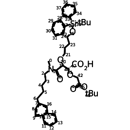 CN(CCCCCc1ccc2ccccc2c1)C(=O)[C@H](OCCCCO[Si](c1ccccc1)(c1ccccc1)C(C)(C)C)[C@@H](OCC(=O)OC(C)(C)C)C(=O)O